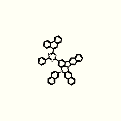 c1ccc(-c2nc(-c3cc4c5c(c3)N(c3ccc6ccccc6c3)c3cc6ccccc6cc3B5c3cc5ccccc5cc3-4)nc(-c3cc4ccccc4c4ccccc34)n2)cc1